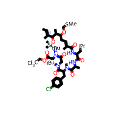 C/C=C(\C)C(O[Si](C)(C)C(C)(C)C)C(C)C(C/C=C(\C)C(=O)NC(CC(C)C)C(=O)NC(C)C(=O)N(C)C(Cc1ccc(Cl)cc1)C(=O)N(C)CC(=O)NC(C(=O)OCC(Cl)(Cl)Cl)C(C)CC)OCSC